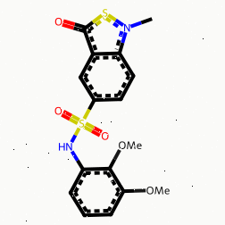 COc1cccc(NS(=O)(=O)c2ccc3c(c2)c(=O)sn3C)c1OC